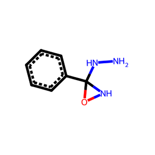 NNC1(c2ccccc2)NO1